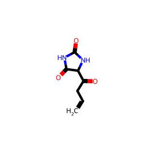 C=CCC(=O)C1NC(=O)NC1=O